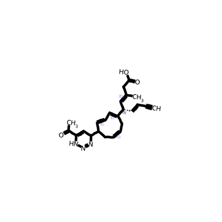 C#CC=C[C@@H](/C=C(\C)CC(=O)O)/C1=C/C=C/C(C2C=C(C(C)=O)NN=N2)C/C=C\C1